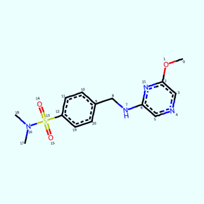 COc1cncc(NCc2ccc(S(=O)(=O)N(C)C)cc2)n1